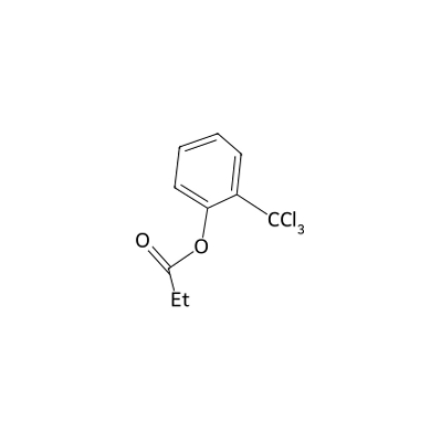 CCC(=O)Oc1ccccc1C(Cl)(Cl)Cl